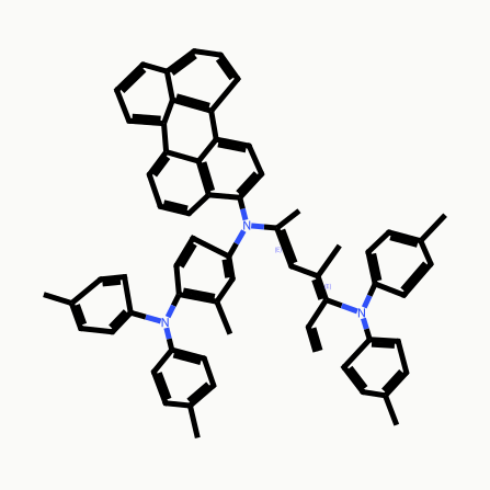 C=C/C(=C(C)\C=C(/C)N(c1ccc(N(c2ccc(C)cc2)c2ccc(C)cc2)c(C)c1)c1ccc2c3cccc4cccc(c5cccc1c52)c43)N(c1ccc(C)cc1)c1ccc(C)cc1